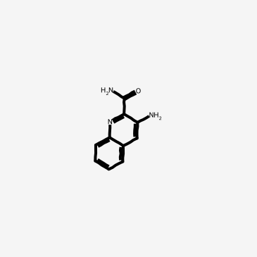 NC(=O)c1nc2ccccc2cc1N